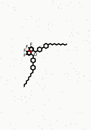 CCCCCCCCCC1CCC(C2CCC(C(OC(c3ccc(F)c(F)c3)C3CCC(C4CCC(CCCCCCCCC)CC4)CC3)c3ccc(F)c(F)c3)CC2)CC1